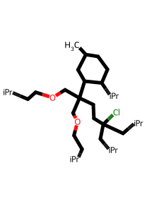 CC(C)CCOCC(CCC(Cl)(CC(C)C)CC(C)C)(COCCC(C)C)C1CC(C)CCC1C(C)C